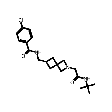 CC(C)(C)NC(=O)CN1CC2(CC(CNC(=O)c3ccc(Cl)cc3)C2)C1